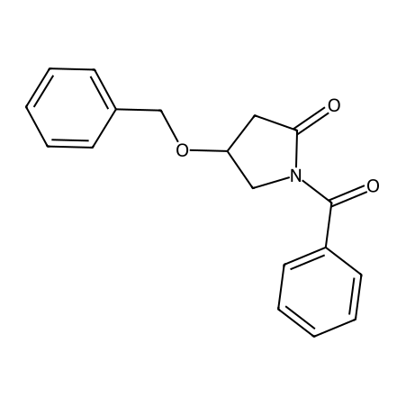 O=C1CC(OCc2ccccc2)CN1C(=O)c1ccccc1